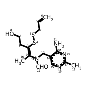 C=CCSSC(CCO)=C(C)N(C=O)Cc1cnc(C)nc1N